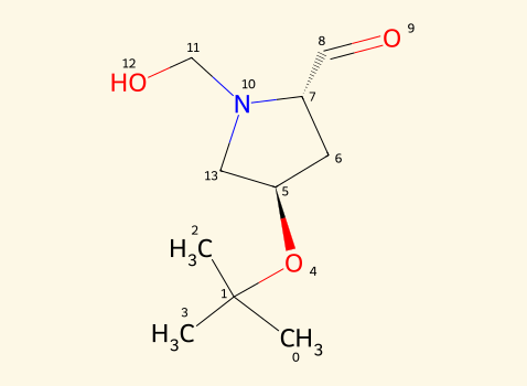 CC(C)(C)O[C@@H]1C[C@@H](C=O)N(CO)C1